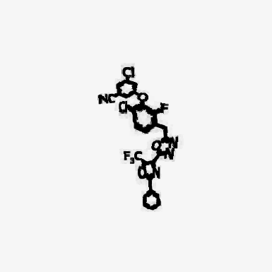 N#Cc1cc(Cl)cc(Oc2c(Cl)ccc(Cc3nnc(-c4nc(-c5ccccc5)oc4C(F)(F)F)o3)c2F)c1